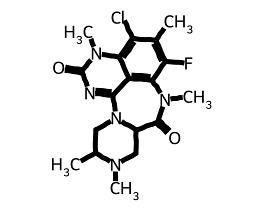 Cc1c(F)c2c3c(nc(=O)n(C)c3c1Cl)N1CC(C)N(C)CC1C(=O)N2C